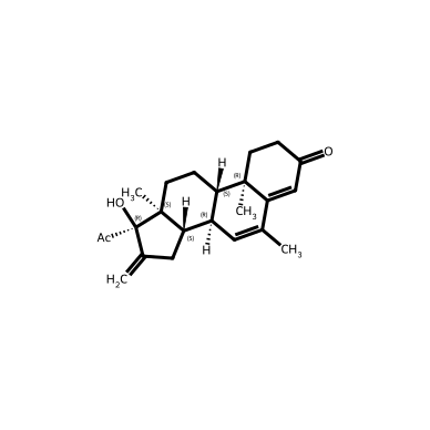 C=C1C[C@H]2[C@@H]3C=C(C)C4=CC(=O)CC[C@]4(C)[C@H]3CC[C@]2(C)[C@@]1(O)C(C)=O